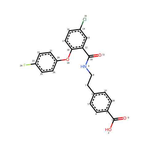 O=C(O)c1ccc(CCNC(=O)c2cc(Cl)ccc2Oc2ccc(F)cc2)cc1